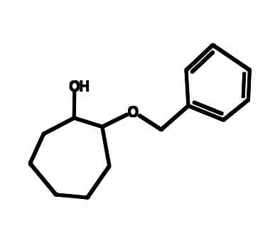 OC1CCCCCC1OCc1ccccc1